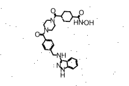 O=C(NO)C1CCC(C(=O)N2CCN(C(=O)c3ccc(CNc4n[nH]c5ccccc45)cc3)CC2)CC1